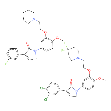 COc1ccc(N2CC=C(c3ccc(Cl)c(Cl)c3)C2=O)cc1OCCN1CCC(F)(F)CC1.COc1ccc(N2CC=C(c3cccc(F)c3)C2=O)cc1OCCN1CCCCC1